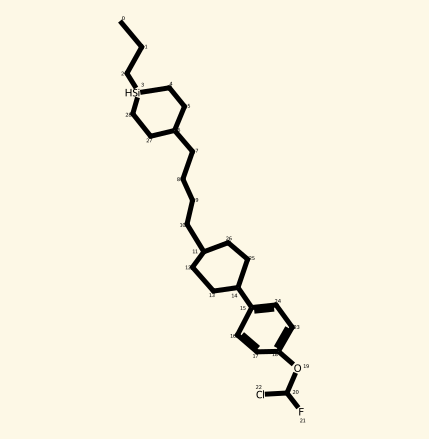 CCC[SiH]1CCC(CCCCC2CCC(c3ccc(OC(F)Cl)cc3)CC2)CC1